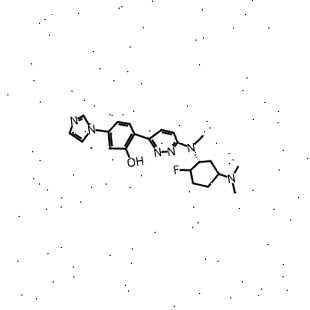 CN(C)C1CCC(F)[C@H](N(C)c2ccc(-c3ccc(-n4ccnc4)cc3O)nn2)C1